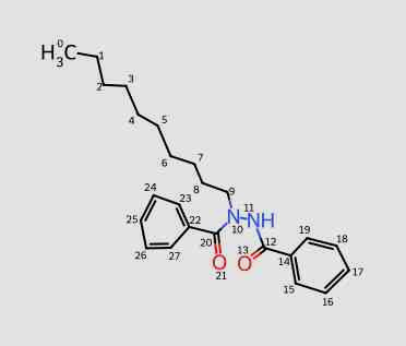 CCCCCCCCCCN(NC(=O)c1ccccc1)C(=O)c1ccccc1